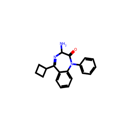 NC1N=C(C2CCC2)c2ccccc2N(c2ccccc2)C1=O